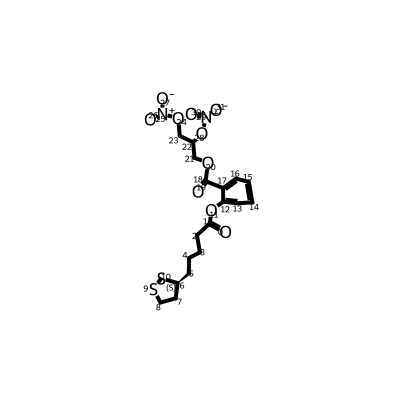 O=C(CCCC[C@H]1CCSS1)Oc1ccccc1C(=O)OCC(CO[N+](=O)[O-])O[N+](=O)[O-]